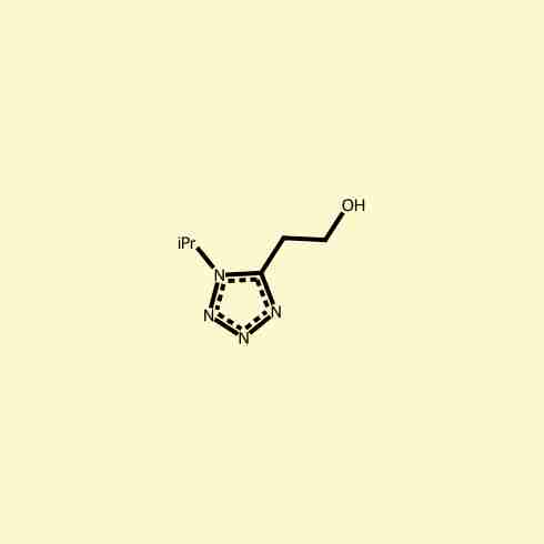 CC(C)n1nnnc1CCO